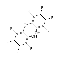 Oc1c(F)c(F)c(F)c(F)c1Oc1c(O)c(F)c(F)c(F)c1F